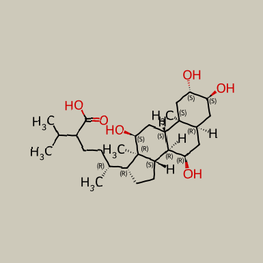 CC(C)C(CC[C@@H](C)[C@H]1CC[C@H]2[C@@H]3[C@H](O)C[C@@H]4C[C@H](O)[C@@H](O)C[C@]4(C)[C@H]3C[C@H](O)[C@]12C)C(=O)O